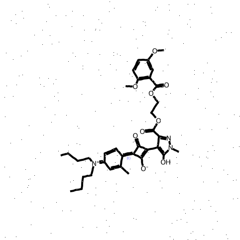 CCCC[N+](CCCC)=C1C=C/C(=C2\C(=O)C(c3c(C(=O)OCCOC(=O)c4cc(OC)ccc4OC)nn(C)c3O)=C2[O-])C(C)=C1